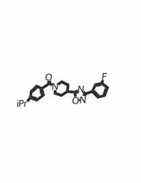 CC(C)c1ccc(C(=O)N2CCC(c3nc(-c4cccc(F)c4)no3)CC2)cc1